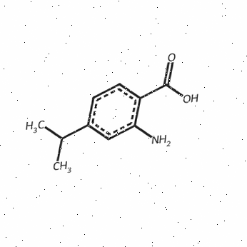 CC(C)c1ccc(C(=O)O)c(N)c1